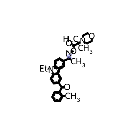 CCn1c2ccc(C(=O)c3ccccc3C)cc2c2cc(/C(C)=N/OC(=O)C(C)(C)N3CCOCC3)ccc21